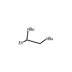 [CH2]CCCCC(CC)CCC[CH2]